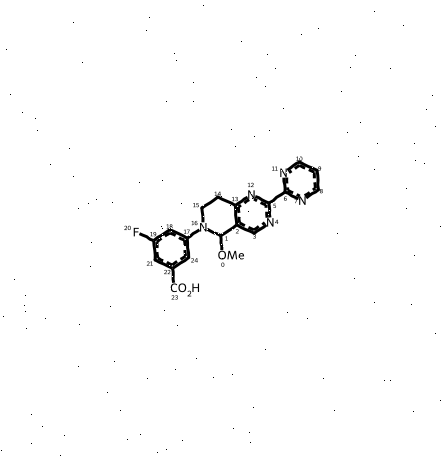 COC1c2cnc(-c3ncccn3)nc2CCN1c1cc(F)cc(C(=O)O)c1